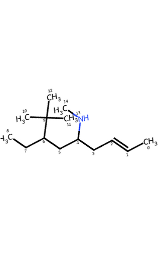 CC=CCC(CC(CC)C(C)(C)C)NC